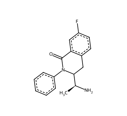 C[C@H](N)C1Cc2ccc(F)cc2C(=O)N1c1ccccc1